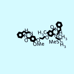 COc1cc2c(cc1OCCCOc1cc3c(cc1C)C(=O)N1c4ccccc4C[C@H]1CN3CC(C)(C)SC)N=C[C@@H]1Cc3ccccc3N1C2=O